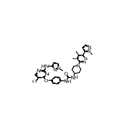 Cc1c(-c2ccnn2C)nnc(N2CCC(NC(=O)Nc3ccc(Oc4nc(Nc5ccn(C)n5)ncc4Cl)cc3)CC2)c1C